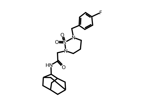 O=C(CN1CCCN(Cc2ccc(F)cc2)S1(=O)=O)NC1C2CC3CC(C2)CC1C3